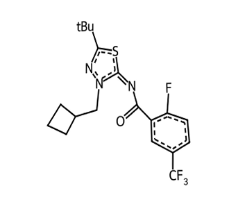 CC(C)(C)c1nn(CC2CCC2)c(=NC(=O)c2cc(C(F)(F)F)ccc2F)s1